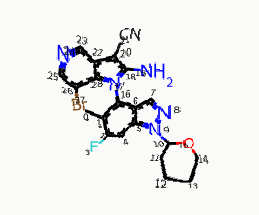 Cc1c(F)cc2c(cnn2C2CCCCO2)c1-n1c(N)c(C#N)c2cncc(Br)c21